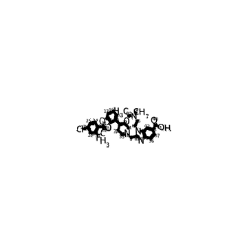 CC(=O)N(C)CCn1c(CN2CCC(c3cccc4c3OC(C)(c3ccc(Cl)cc3F)O4)CC2)nc2ccc(C(=O)O)cc21